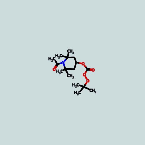 CC(=O)N1C(C)(C)CC(OC(=O)OOC(C)(C)C)CC1(C)C